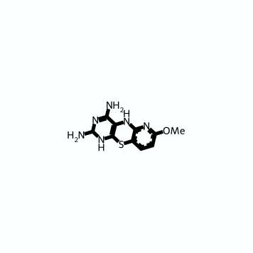 COc1ccc2c(n1)NC1=C(NC(N)N=C1N)S2